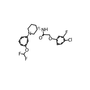 O=C(COc1ccc(Cl)c(F)c1)N[C@H]1CCCN(c2cccc(OC(F)F)c2)C1